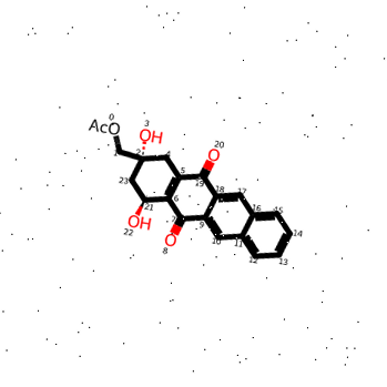 CC(=O)OC[C@@]1(O)CC2=C(C(=O)c3cc4ccccc4cc3C2=O)[C@@H](O)C1